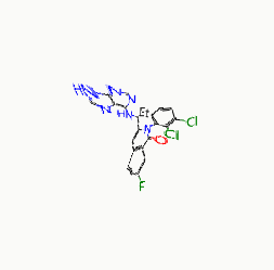 CCC(Nc1ncnc2[nH]cnc12)c1cc2ccc(F)cc2c(=O)n1-c1cccc(Cl)c1Cl